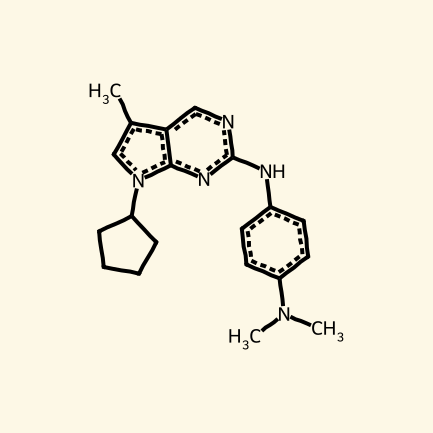 Cc1cn(C2CCCC2)c2nc(Nc3ccc(N(C)C)cc3)ncc12